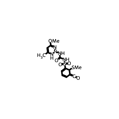 COC1=NN(NC(=O)NS(=O)(=O)C2=CC=CC(=C=O)C2SC)NC(C)=C1